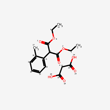 CCOC(=O)C(C(=O)OCC)c1ccccc1C.O=C(O)CC(=O)O